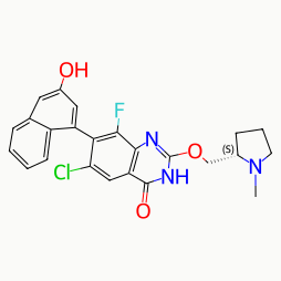 CN1CCC[C@H]1COc1nc2c(F)c(-c3cc(O)cc4ccccc34)c(Cl)cc2c(=O)[nH]1